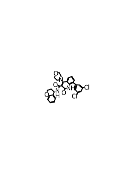 O=C(N[C@H]1CCOc2ccccc21)c1c(N2CCOCC2)c2cccc(-c3cc(Cl)cc(Cl)c3)c2[nH]c1=O